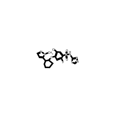 Cn1nccc1C1CCCCC1Oc1cc(F)c(S(=O)(=O)Nc2nncs2)cc1Cl